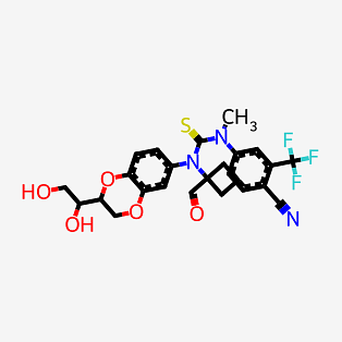 CN(C(=S)N(c1ccc2c(c1)OCC(C(O)CO)O2)C1(C=O)CCC1)c1ccc(C#N)c(C(F)(F)F)c1